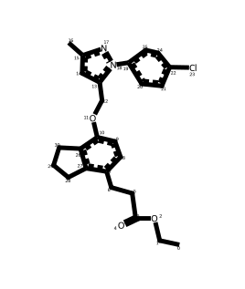 CCOC(=O)CCc1ccc(OCc2cc(C)nn2-c2ccc(Cl)cc2)c2c1CCC2